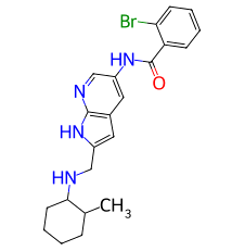 CC1CCCCC1NCc1cc2cc(NC(=O)c3ccccc3Br)cnc2[nH]1